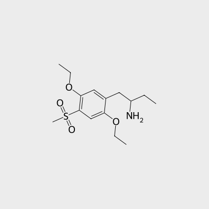 CCOc1cc(S(C)(=O)=O)c(OCC)cc1CC(N)CC